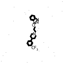 FC(F)(F)c1cccc(C2CCN(CCCOn3nnc4ccccc43)CC2)c1